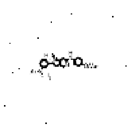 COc1ccc(Nc2cc3c(cn2)cc(-c2cccc(N(C)C(C)=O)c2)n3C)cc1